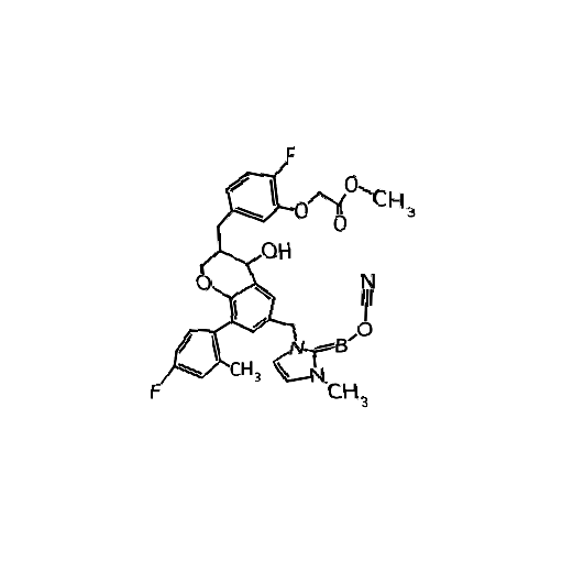 COC(=O)COc1cc(CC2COc3c(-c4ccc(F)cc4C)cc(CN4C=CN(C)C4=BOC#N)cc3C2O)ccc1F